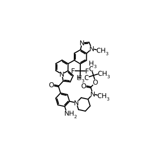 CN(C(=O)OC(C)(C)C)C1CCCN(c2cc(C(=O)c3ccc4c(-c5cc6ncn(C)c6cc5C(F)(F)F)cccn34)ccc2N)C1